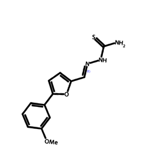 COc1cccc(-c2ccc(/C=N/NC(N)=S)o2)c1